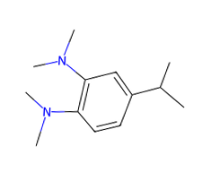 CC(C)c1ccc(N(C)C)c(N(C)C)c1